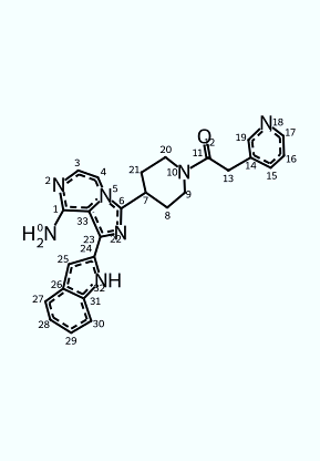 Nc1nccn2c(C3CCN(C(=O)Cc4cccnc4)CC3)nc(-c3cc4ccccc4[nH]3)c12